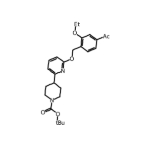 CCOc1cc(C(C)=O)ccc1COc1cccc(C2CCN(C(=O)OC(C)(C)C)CC2)n1